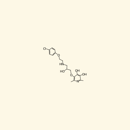 Cc1nc(C)c(OCC(O)CNCCOc2ccc(Cl)cc2)c(O)c1O